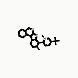 Cc1ccc2c(oc3ncc4ccccc4c32)c1-c1ccc(C(C)(C)C)c[n+]1C